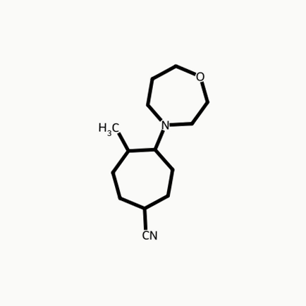 CC1CCC(C#N)CCC1N1CCCOCC1